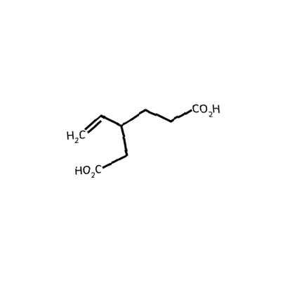 C=CC(CCC(=O)O)CC(=O)O